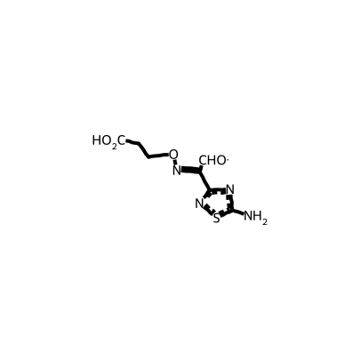 Nc1nc(C([C]=O)=NOCCC(=O)O)ns1